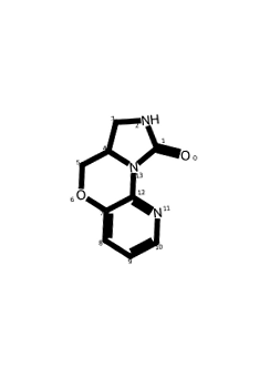 O=C1NCC2COc3cccnc3N12